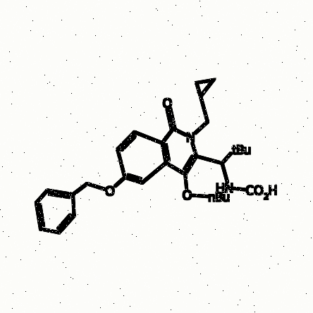 CCCCOc1c(C(NC(=O)O)C(C)(C)C)n(CC2CC2)c(=O)c2ccc(OCc3ccccc3)cc12